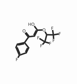 O=C(/C=C(\O)OC(C(F)(F)F)C(F)(F)F)c1ccc(F)cc1